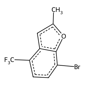 Cc1cc2c(C(F)(F)F)ccc(Br)c2o1